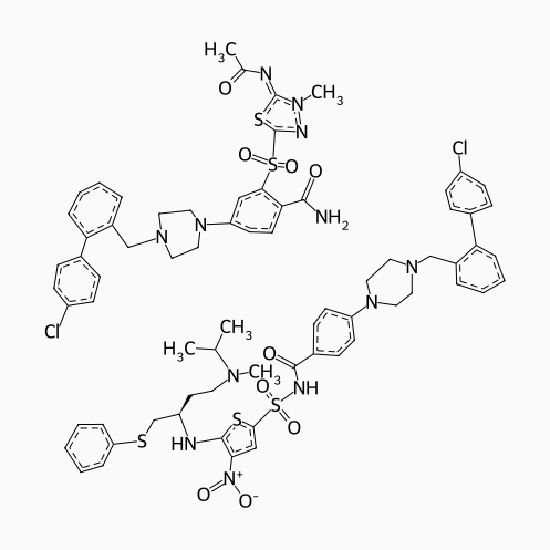 CC(=O)/N=c1\sc(S(=O)(=O)c2cc(N3CCN(Cc4ccccc4-c4ccc(Cl)cc4)CC3)ccc2C(N)=O)nn1C.CC(C)N(C)CC[C@H](CSc1ccccc1)Nc1sc(S(=O)(=O)NC(=O)c2ccc(N3CCN(Cc4ccccc4-c4ccc(Cl)cc4)CC3)cc2)cc1[N+](=O)[O-]